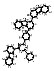 c1ccc(-c2nc(-c3ccc(-c4ccc(-c5ccc6oc7ccccc7c6c5)c5oc6ccccc6c45)cc3)nc(-c3cccc4c3oc3ccccc34)n2)cc1